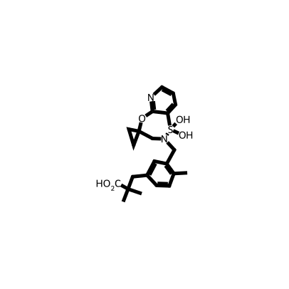 Cc1ccc(CC(C)(C)C(=O)O)cc1CN1CC2(CC2)Oc2ncccc2S1(O)O